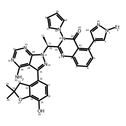 CCn1cc(-c2cccc3nc([C@H](C)n4nc(-c5ccc(O)c6c5CC(C)(C)O6)c5c(N)ncnc54)n(-n4cccc4)c(=O)c23)cn1